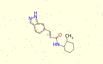 CC1CCCCC1NC(=O)/C=C/c1ccc2cn[nH]c2c1